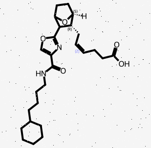 O=C(O)CC/C=C\C[C@@H]1C(c2nc(C(=O)NCCCCC3CCCCC3)co2)C2CC[C@@H]1O2